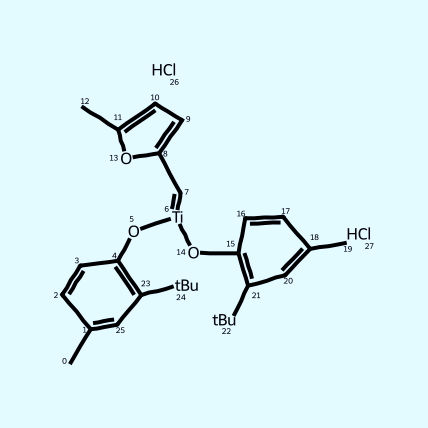 Cc1ccc([O][Ti](=[CH]c2ccc(C)o2)[O]c2ccc(C)cc2C(C)(C)C)c(C(C)(C)C)c1.Cl.Cl